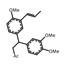 CC=Cc1cc(C(CC(C)=O)c2ccc(OC)c(OC)c2)ccc1OC